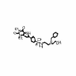 CCn1c(=O)c2[nH]c(-c3ccc(S(=O)(=O)NCCN(CCO)Cc4ccccc4)cc3)cc2n(CC)c1=O